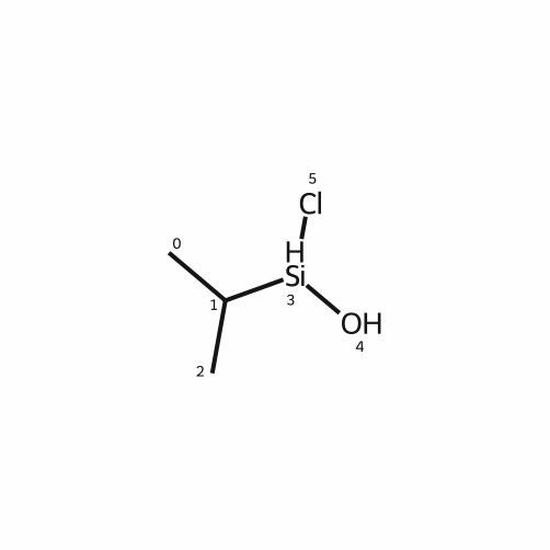 CC(C)[SiH](O)Cl